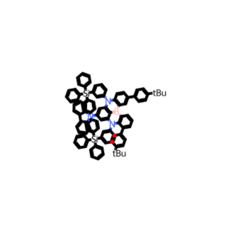 CC(C)(C)c1ccc(-c2ccc3c(c2)B2c4cccc(-c5ccc(C(C)(C)C)cc5)c4N(c4cccc([Si](c5ccccc5)(c5ccccc5)c5ccccc5)c4)c4cc(-n5c6ccccc6c6ccccc65)cc(c42)N3c2cccc([Si](c3ccccc3)(c3ccccc3)c3ccccc3)c2)cc1